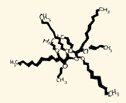 CCCCCCCCCCOC(OC(OCCCCCCCCCC)C(OCCCC)=C(CCCCCCCCCC)OCCCC)C(OCCCC)=C(CCCCCCCCCC)OCCCC